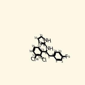 Fc1ccc(CC(NC2=NCCN2)c2cccc(Cl)c2Cl)cc1